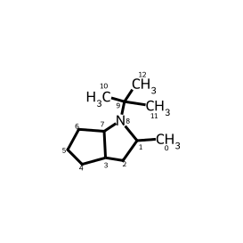 CC1CC2CCCC2N1C(C)(C)C